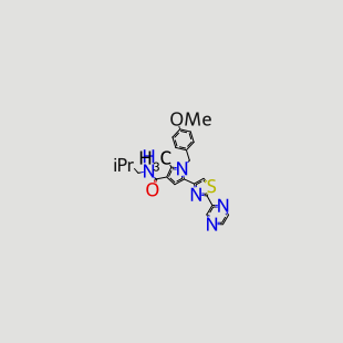 COc1ccc(Cn2c(-c3csc(-c4cnccn4)n3)cc(C(=O)NCC(C)C)c2C)cc1